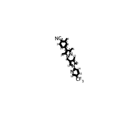 Cc1cc(-c2c(C)nn(Cc3cn(-c4ccc(C(F)(F)F)cn4)nc3C)c2C)ccc1C#N